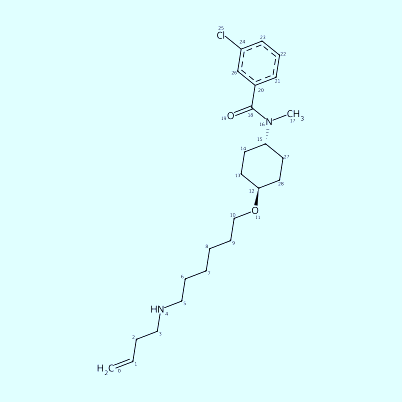 C=CCCNCCCCCCO[C@H]1CC[C@H](N(C)C(=O)c2cccc(Cl)c2)CC1